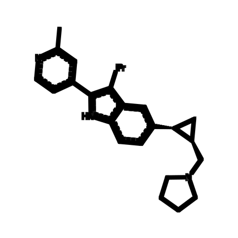 Cc1cc(-c2[nH]c3ccc([C@@H]4C[C@H]4CN4CCCC4)cc3c2C(C)C)ccn1